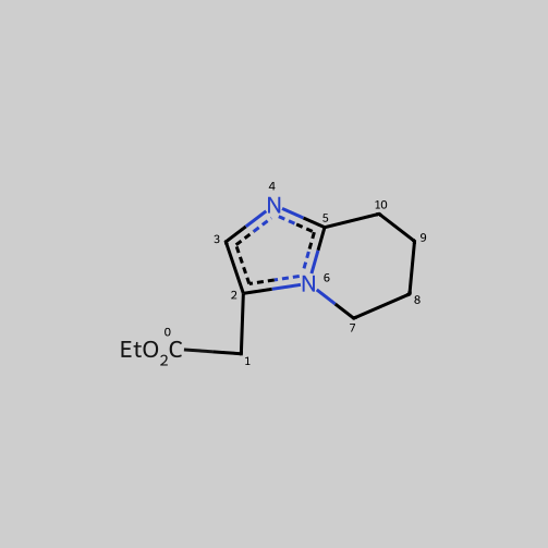 CCOC(=O)Cc1cnc2n1CCCC2